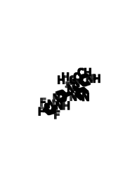 CN(c1nc(-c2ccnc(Nc3nc(F)c(F)cc3F)c2)nc2cnccc12)C1CCNCC1(C)C